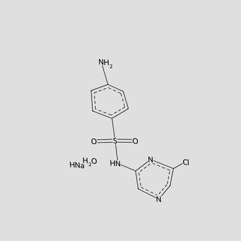 Nc1ccc(S(=O)(=O)Nc2cncc(Cl)n2)cc1.O.[NaH]